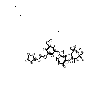 COc1cc(Nc2ncc(F)c(NC3CC(C)(C)N(C)C(C)(C)C3)n2)cc(OCCN2CCCC2)c1